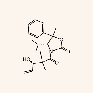 C=C[C@@H](O)C(C)(C)C(=O)N1C(=O)OC(C)(c2ccccc2)[C@H]1C(C)C